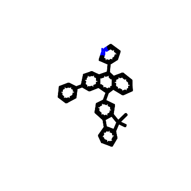 CC1(C)c2ccccc2-c2ccc(-c3c4ccccc4c(-c4cccnc4)c4ccc(-c5ccccc5)cc34)cc21